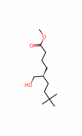 COC(=O)CCC[C@H](CO)CCC(C)(C)C